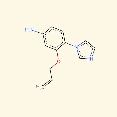 C=CCOc1cc(N)ccc1-n1ccnc1